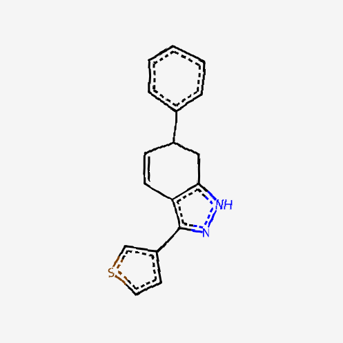 C1=CC(c2ccccc2)Cc2[nH]nc(-c3ccsc3)c21